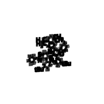 CC(C)(C)c1ccc(N2B3c4cc5nc(-c6ccccc6)sc5cc4-n4c5cc6c(cc5c5c7c(oc8ccccc87)c(c3c54)-c3cc(C(C)(C)C)ccc32)C(C)(C)CCC6(C)C)cc1